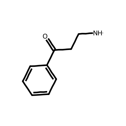 [NH]CCC(=O)c1ccccc1